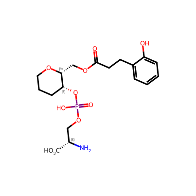 N[C@@H](COP(=O)(O)O[C@@H]1CCCO[C@@H]1COC(=O)CCc1ccccc1O)C(=O)O